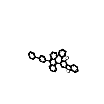 c1ccc(-c2ccc(-c3c4ccccc4c(-c4cc5oc6ccccc6c5c5oc6ccccc6c45)c4ccccc34)cc2)cc1